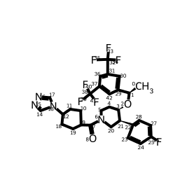 C[C@@H](O[C@H]1CCN(C(=O)C2CCC(n3cnnc3)CC2)C[C@@H]1c1ccc(F)cc1)c1cc(C(F)(F)F)cc(C(F)(F)F)c1